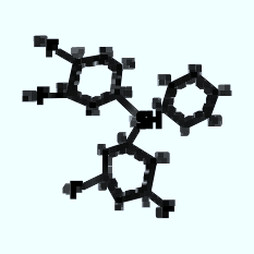 Fc1cc(F)cc([SH](c2ccccc2)c2ccc(F)c(F)c2)c1